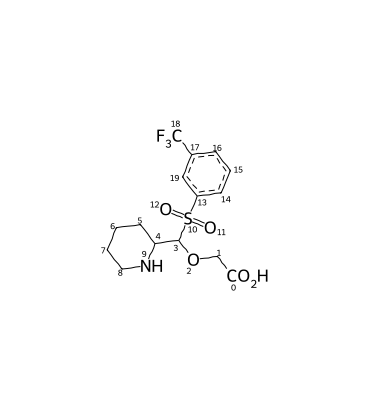 O=C(O)COC(C1CCCCN1)S(=O)(=O)c1cccc(C(F)(F)F)c1